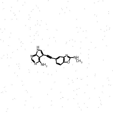 CNc1nc2cc(C#Cc3c[nH]c4ncnc(N)c34)ccc2o1